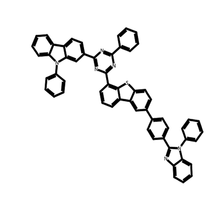 c1ccc(-c2nc(-c3ccc4c5ccccc5n(-c5ccccc5)c4c3)nc(-c3cccc4c3sc3ccc(-c5ccc(-c6nc7ccccc7n6-c6ccccc6)cc5)cc34)n2)cc1